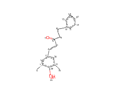 Cc1cc(C=CC(=O)CCc2ccccc2)cc(C)c1O